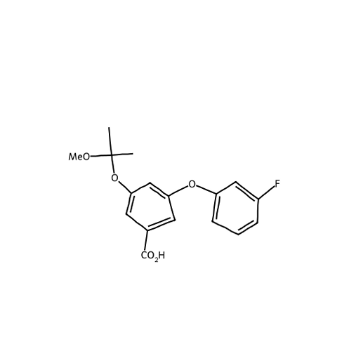 COC(C)(C)Oc1cc(Oc2cccc(F)c2)cc(C(=O)O)c1